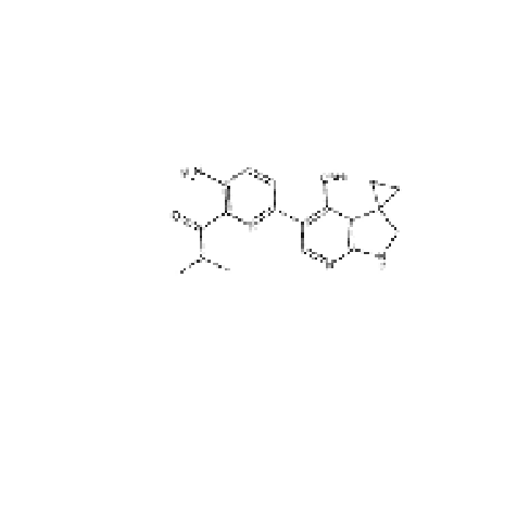 COc1c(-c2ccc(N)c(C(=O)N(C)C)n2)cnc2c1C1(CC1)CN2